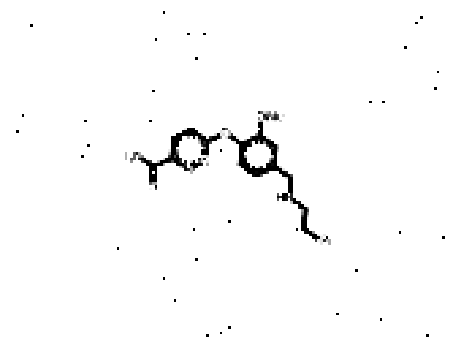 COc1cc(CNCCC(C)C)ccc1Oc1ccc(C(N)=O)nn1